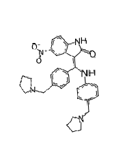 O=C1Nc2ccc([N+](=O)[O-])cc2/C1=C(/Nc1ccc(CN2CCCC2)cc1)c1ccc(CN2CCCC2)cc1